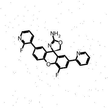 NC1=N[C@@]2(CO1)c1cc(-c3cccnc3F)ccc1Oc1c(F)cc(-c3ccccn3)cc12